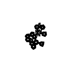 c1ccc(-c2cccc(-c3cc(-c4nc(-c5ccccc5)nc(-c5cccc6sc7ccccc7c56)n4)c4ccccc4c3-n3c4cc5ccccc5cc4c4ccc5ccccc5c43)c2)cc1